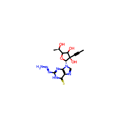 CC#C[C@@]1(O)C(O)C([C@@H](C)O)O[C@H]1n1cnc2c(=S)[nH]c(N=NN)nc21